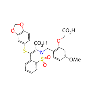 COc1ccc(CN2C(C(=O)O)=C(Sc3ccc4c(c3)OCO4)c3ccccc3S2(=O)=O)c(OCC(=O)O)c1